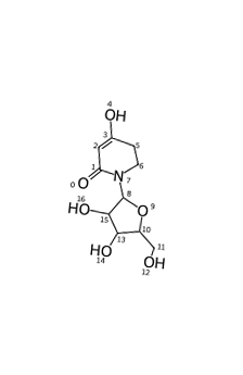 O=C1C=C(O)CCN1C1OC(CO)C(O)C1O